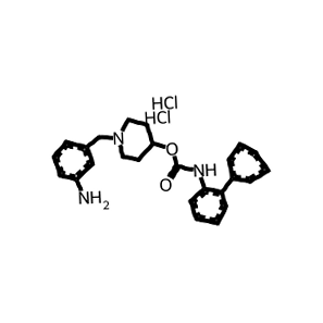 Cl.Cl.Nc1cccc(CN2CCC(OC(=O)Nc3ccccc3-c3ccccc3)CC2)c1